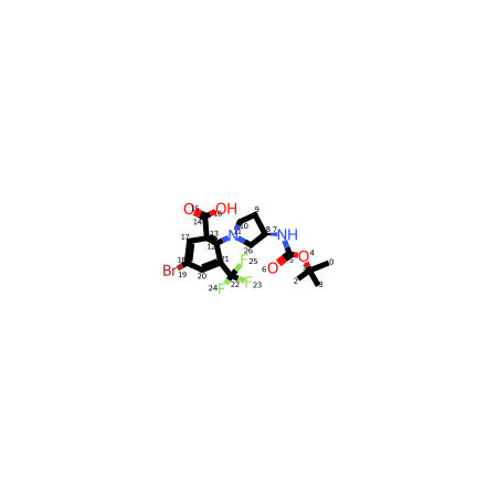 CC(C)(C)OC(=O)N[C@@H]1CCN(c2c(C(=O)O)cc(Br)cc2C(F)(F)F)C1